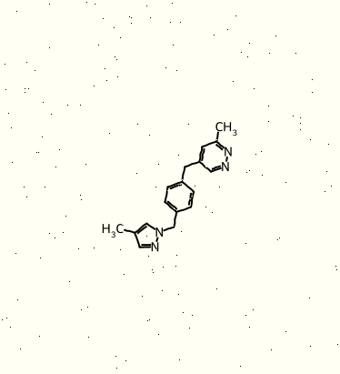 Cc1cnn(Cc2ccc(Cc3cnnc(C)c3)cc2)c1